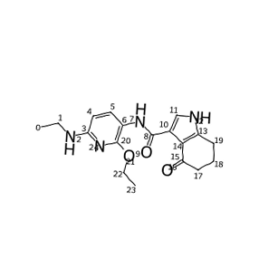 CCNc1ccc(NC(=O)c2c[nH]c3c2C(=O)CCC3)c(OCC)n1